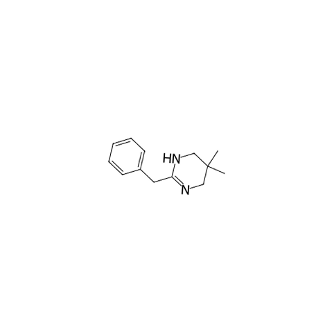 CC1(C)CN=C(Cc2ccccc2)NC1